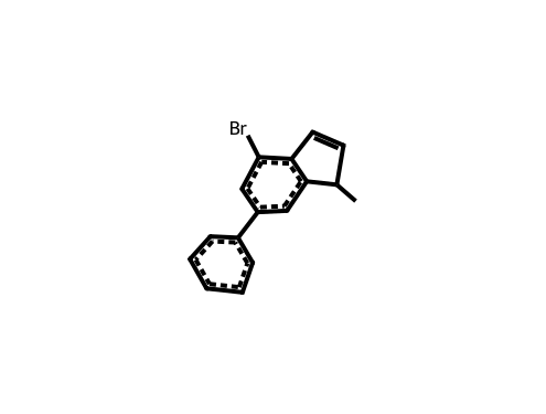 CC1C=Cc2c(Br)cc(-c3ccccc3)cc21